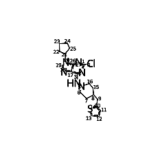 Clc1nc(NN2CCC(Cc3cccs3)CC2)c2ncn(C3CCCC3)c2n1